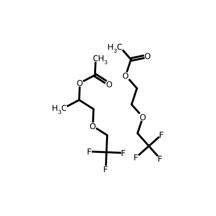 CC(=O)OC(C)COCC(F)(F)F.CC(=O)OCCOCC(F)(F)F